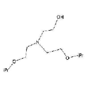 CC(C)OCCN(CCO)CCOC(C)C